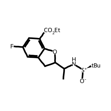 CCOC(=O)c1cc(F)cc2c1OC(C(C)N[S@+]([O-])C(C)(C)C)C2